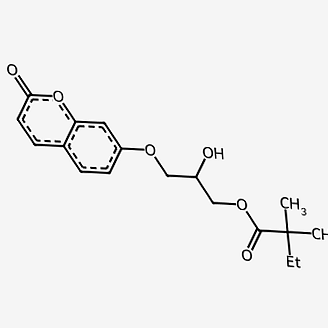 CCC(C)(C)C(=O)OCC(O)COc1ccc2ccc(=O)oc2c1